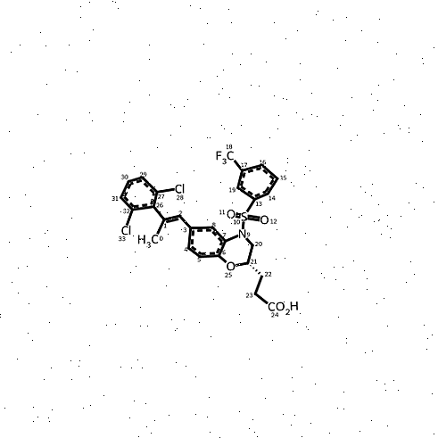 C/C(=C\c1ccc2c(c1)N(S(=O)(=O)c1cccc(C(F)(F)F)c1)C[C@H](CCC(=O)O)O2)c1c(Cl)cccc1Cl